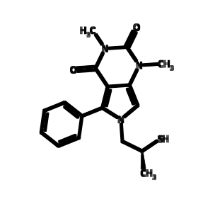 C[C@H](S)Cn1cc2c(c1-c1ccccc1)c(=O)n(C)c(=O)n2C